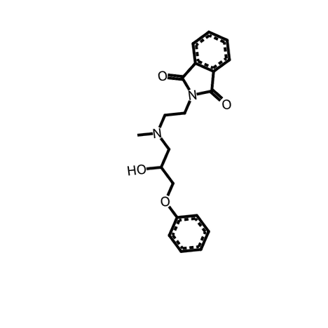 CN(CCN1C(=O)c2ccccc2C1=O)CC(O)COc1ccccc1